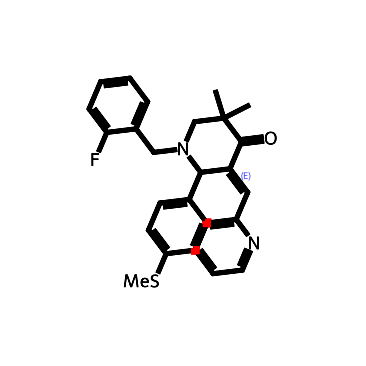 CSc1ccc(C2/C(=C\c3ccccn3)C(=O)C(C)(C)CN2Cc2ccccc2F)cc1